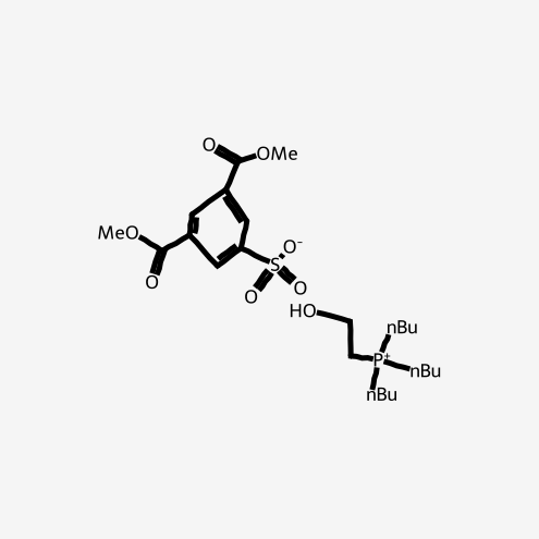 CCCC[P+](CCO)(CCCC)CCCC.COC(=O)c1cc(C(=O)OC)cc(S(=O)(=O)[O-])c1